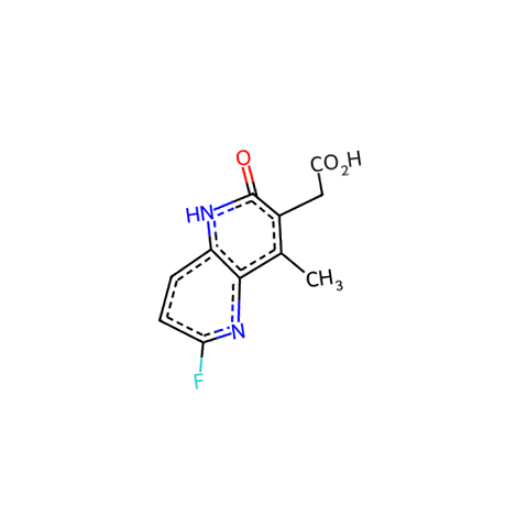 Cc1c(CC(=O)O)c(=O)[nH]c2ccc(F)nc12